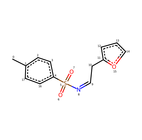 Cc1ccc(S(=O)(=O)/N=C\Cc2ccco2)cc1